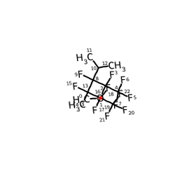 COC(F)(C(F)(F)F)C(F)(C(C)C)C(C)(F)C(F)(F)C(F)(F)F